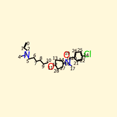 C=CCN(C)CCCCCCOC1CCC(N(C)C(=O)c2ccc(Cl)cc2)CC1